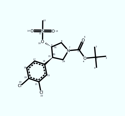 CC(C)(C)OC(=O)N1C[C@@H](OS(C)(=O)=O)[C@H](c2ccc(Cl)c(Cl)c2)C1